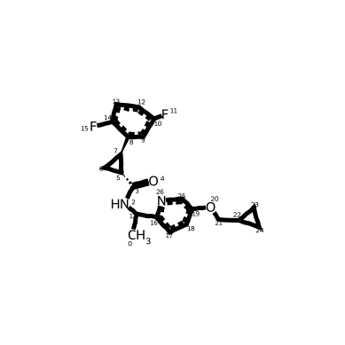 CC(NC(=O)[C@@H]1C[C@H]1c1cc(F)ccc1F)c1ccc(OCC2CC2)cn1